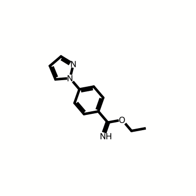 CCOC(=N)c1ccc(-n2cccn2)cc1